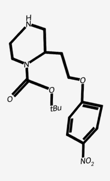 CC(C)(C)OC(=O)N1CCNCC1CCOc1ccc([N+](=O)[O-])cc1